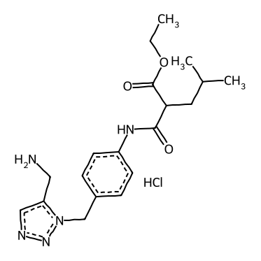 CCOC(=O)C(CC(C)C)C(=O)Nc1ccc(Cn2nncc2CN)cc1.Cl